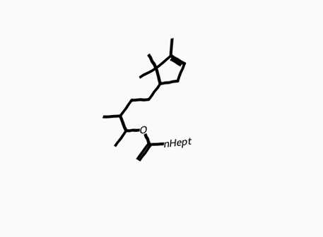 C=C(CCCCCCC)OC(C)C(C)CCC1CC=C(C)C1(C)C